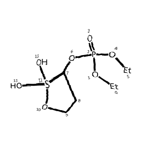 CCOP(=O)(OCC)OC1CCOS1(O)O